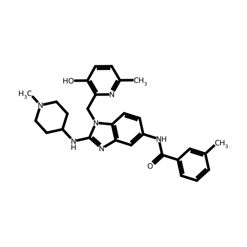 Cc1cccc(C(=O)Nc2ccc3c(c2)nc(NC2CCN(C)CC2)n3Cc2nc(C)ccc2O)c1